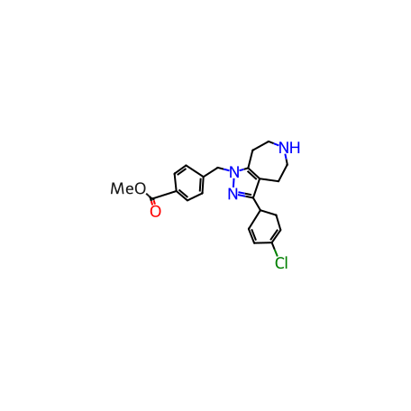 COC(=O)c1ccc(Cn2nc(C3C=CC(Cl)=CC3)c3c2CCNCC3)cc1